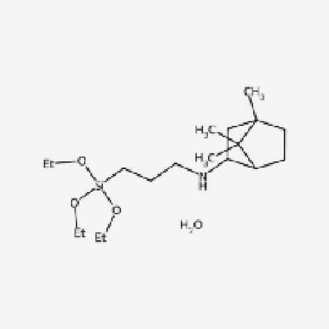 CCO[Si](CCCNC1CC2(C)CCC1C2(C)C)(OCC)OCC.O